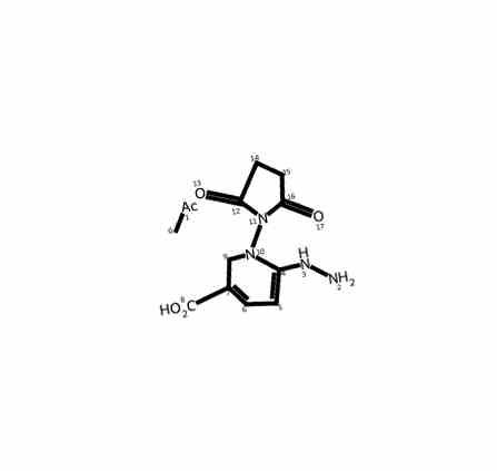 CC(C)=O.NNC1=CC=C(C(=O)O)CN1N1C(=O)CCC1=O